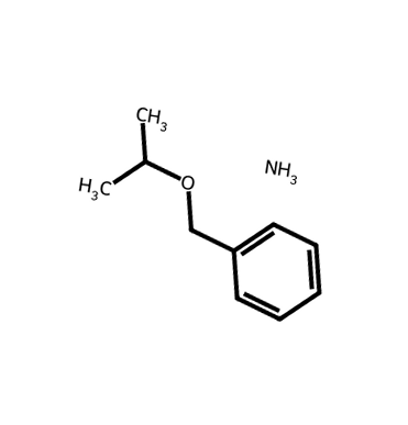 CC(C)OCc1ccccc1.N